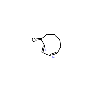 O=C1/C=C/C=C\CCCC1